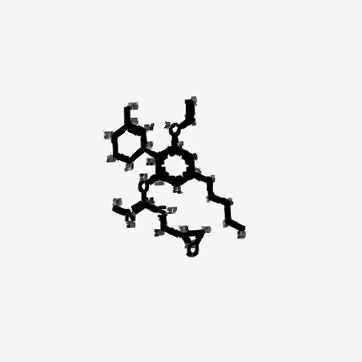 C=COc1cc(CCCCC)cc(O/C(=N\C)SCC2CO2)c1[C@@H]1C=C(C)CCC1